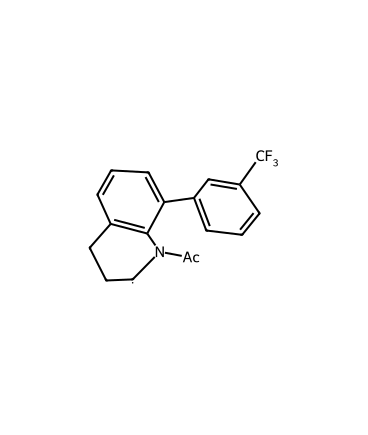 CC(=O)N1[CH]CCc2cccc(-c3cccc(C(F)(F)F)c3)c21